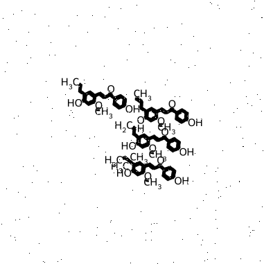 C/C=C/Cc1cc(/C=C/C(=O)c2ccc(O)cc2)c(OC)cc1O.C=CCc1cc(/C=C/C(=O)c2ccc(O)cc2)c(OC)cc1O.CCC(C)(C)c1cc(/C=C/C(=O)c2ccc(O)cc2)c(OC)cc1O.CCCc1cc(/C=C/C(=O)c2ccc(O)cc2)c(OC)cc1O